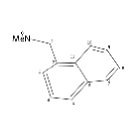 CNCc1cccc2[c]cccc12